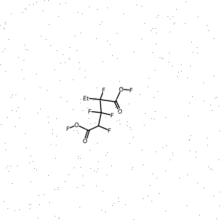 CCC(F)(C(=O)OF)C(F)(F)C(F)C(=O)OF